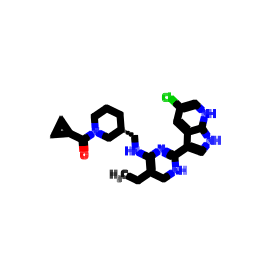 CCC1=C(NC[C@H]2CCCN(C(=O)C3CC3)C2)N=C(C2=CNC3NC=C(Cl)C=C23)NC1